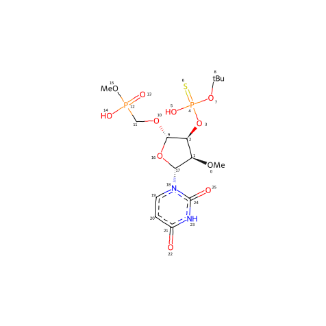 CO[C@@H]1[C@H](OP(O)(=S)OC(C)(C)C)[C@@H](OCP(=O)(O)OC)O[C@H]1n1ccc(=O)[nH]c1=O